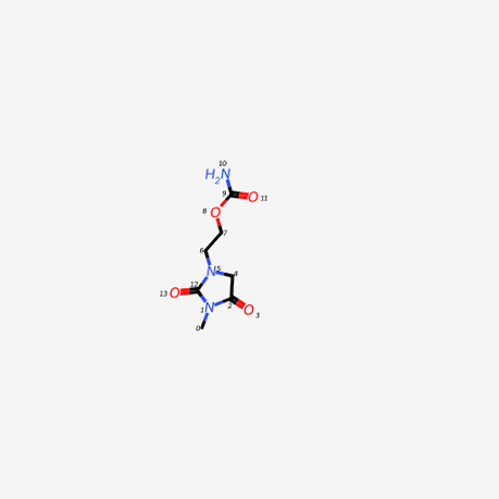 CN1C(=O)CN(CCOC(N)=O)C1=O